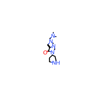 CN(C)CN1C=C2C(=O)N(C3CCNCC3)CN2C1